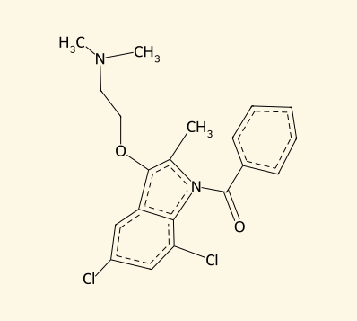 Cc1c(OCCN(C)C)c2cc(Cl)cc(Cl)c2n1C(=O)c1ccccc1